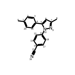 Cc1ccc(-c2cc(C)nn2-c2ccc(C#N)cc2)cc1